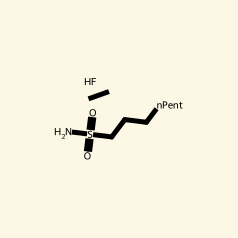 CC.CCCCCCCCS(N)(=O)=O.F